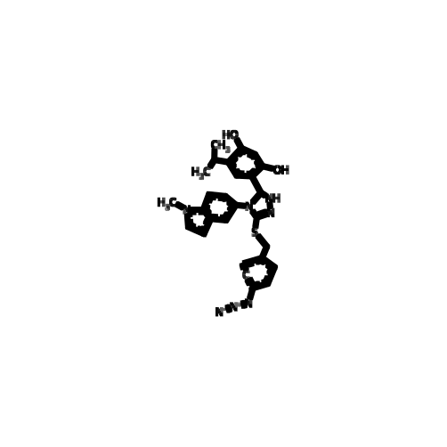 CC(C)c1cc(C2NN=C(SCc3ccc(N=[N+]=[N-])cc3)N2c2ccc3c(ccn3C)c2)c(O)cc1O